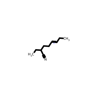 CC/C=C/CCC(C#N)CC